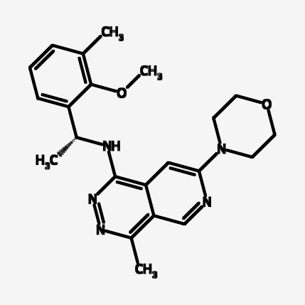 COc1c(C)cccc1[C@@H](C)Nc1nnc(C)c2cnc(N3CCOCC3)cc12